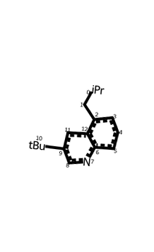 CC(C)Cc1cccc2ncc(C(C)(C)C)cc12